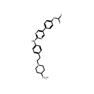 O=C(O)C1CCN(CCc2ccc(Nc3ncc(-c4ccc(OC(F)F)cc4)cn3)cc2)CC1